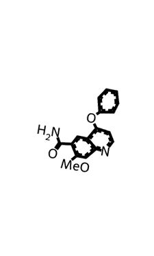 COc1cc2nccc(Oc3ccccc3)c2cc1C(N)=O